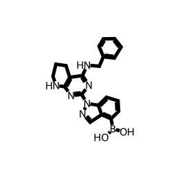 OB(O)c1cccc2c1cnn2-c1nc2c(c(NCc3ccccc3)n1)CCCN2